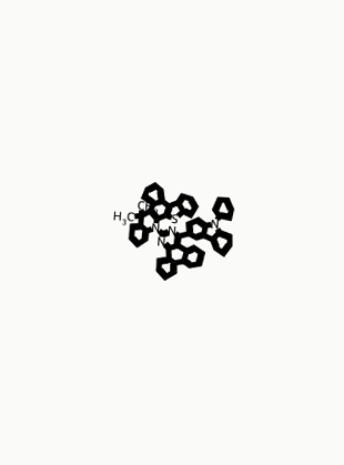 CC1(C)c2ccccc2N(c2nc(-c3ccc4c(c3)c3ccccc3n4-c3ccccc3)c3c4ccccc4c4ccccc4c3n2)c2c1c1ccccc1c1c2sc2ccccc21